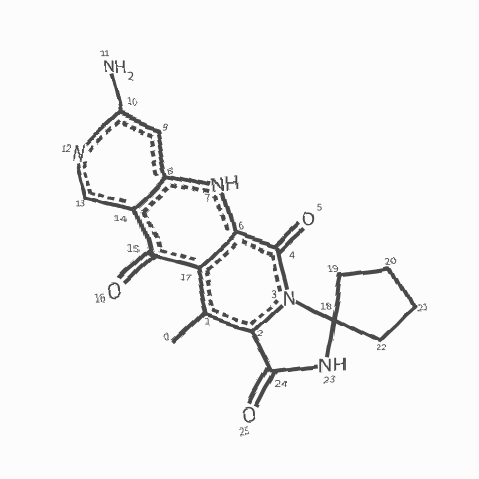 Cc1c2n(c(=O)c3[nH]c4cc(N)ncc4c(=O)c13)C1(CCCC1)NC2=O